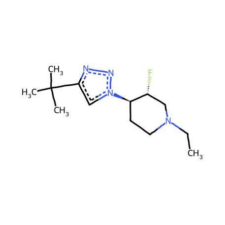 CCN1CC[C@@H](n2cc(C(C)(C)C)nn2)[C@H](F)C1